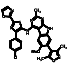 COc1cc2c(cc1-c1c(C)noc1C)[nH]c1nc(C)nc(Nc3sc(-c4ncco4)nc3-c3ccc(Cl)cc3)c12